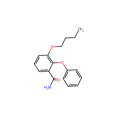 NC(=O)c1cccc(OCCCC(F)(F)F)c1Oc1ccccc1